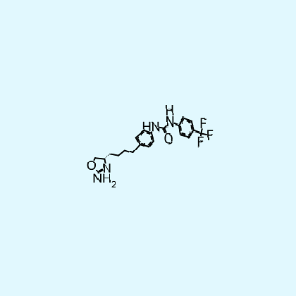 NC1=N[C@@H](CCCCc2ccc(NC(=O)Nc3ccc(C(F)(F)F)cc3)cc2)CO1